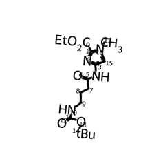 CCOC(=O)c1nc(NC(=O)CCCNC(=O)OC(C)(C)C)cn1C